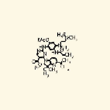 C=CC(=O)Nc1cc(Nc2ncc(C(=O)OC(C)C)c(N3CC(C)(C)c4nc(C(=C)C)ccc43)n2)c(OC)cc1N(C)CCN(C)C